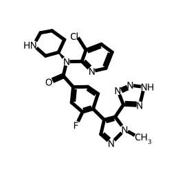 Cn1ncc(-c2ccc(C(=O)N(c3ncccc3Cl)[C@@H]3CCCNC3)cc2F)c1-c1nn[nH]n1